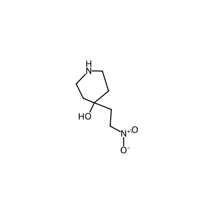 O=[N+]([O-])CCC1(O)CCNCC1